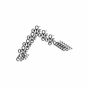 [Co+2].[Co+2].[Co+2].[Co+2].[Co+2].[Co+2].[Co+2].[Co+2].[Co+2].[O-][Ti]([O-])([O-])[F].[O-][Ti]([O-])([O-])[F].[O-][Ti]([O-])([O-])[F].[O-][Ti]([O-])([O-])[F].[O-][Ti]([O-])([O-])[F].[O-][Ti]([O-])([O-])[F]